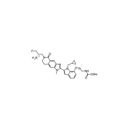 COC(=O)NC[C@@H](C)Oc1cccc2cc(-c3nc4cc5c(cc4n3C)CCN(C[C@H](N)CF)C5=O)n(CC3CC3)c12